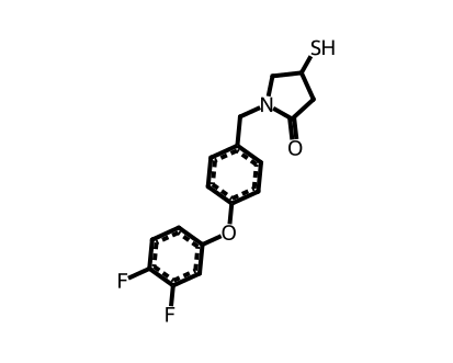 O=C1CC(S)CN1Cc1ccc(Oc2ccc(F)c(F)c2)cc1